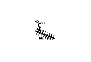 N.O=S(=O)(OCC(O)O)C(F)(F)C(F)(F)C(F)(F)C(F)(F)C(F)(F)C(F)(F)C(F)(F)C(F)(F)F